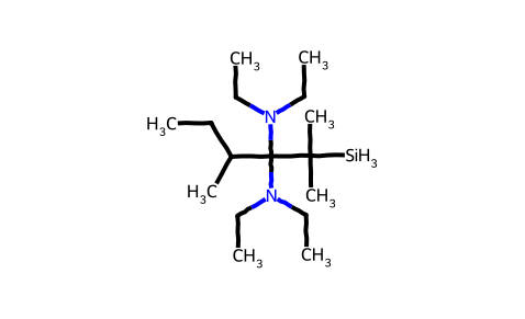 CCC(C)C(N(CC)CC)(N(CC)CC)C(C)(C)[SiH3]